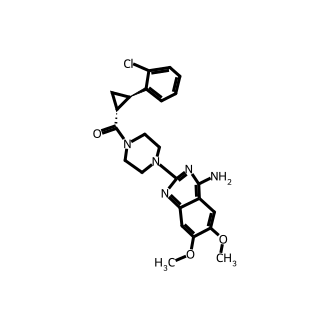 COc1cc2nc(N3CCN(C(=O)[C@@H]4C[C@H]4c4ccccc4Cl)CC3)nc(N)c2cc1OC